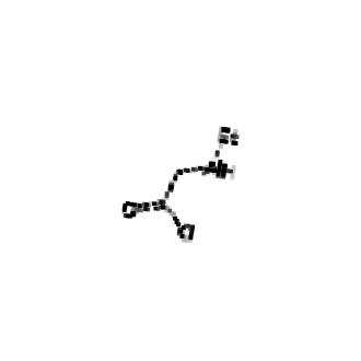 C[CH2][AlH][CH2]C(=O)Cl